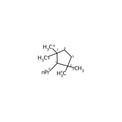 [CH2]CCC1C(C)(C)CCC1(C)C